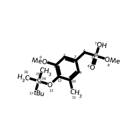 COc1cc(CP(=O)(O)OC)cc(C)c1O[Si](C)(C)C(C)(C)C